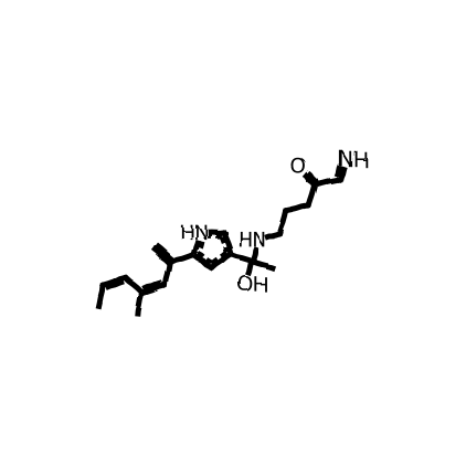 C=C(/C=C(C)\C=C/C)c1cc(C(C)(O)NCCCC(=O)C=N)c[nH]1